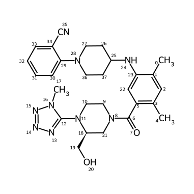 Cc1cc(C)c(C(=O)N2CCN(c3nnnn3C)[C@H](CO)C2)cc1NC1CCN(c2ccccc2C#N)CC1